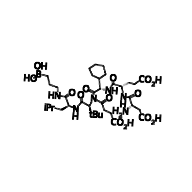 CC(C)C[C@H](NC(=O)[C@@H](N(C(=O)CCC(=O)O)C(=O)[C@@H](NC(=O)[C@H](CCC(=O)O)NC(=O)[C@@H](N)CC(=O)O)C1CCCCC1)C(C)(C)C)C(=O)NCCCB(O)O